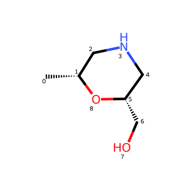 C[C@@H]1CNC[C@H](CO)O1